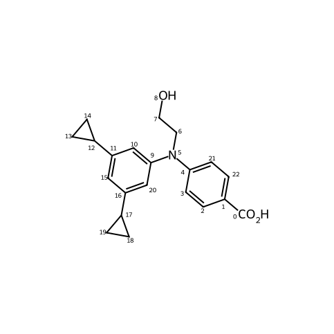 O=C(O)c1ccc(N(CCO)c2cc(C3CC3)cc(C3CC3)c2)cc1